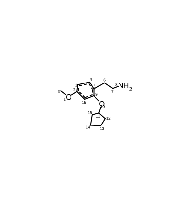 COc1ccc(CCN)c(OC2CCCC2)c1